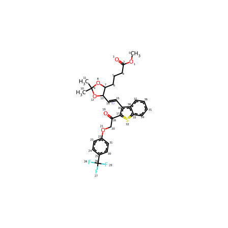 COC(=O)CCCC1OC(C)(C)OC1/C=C/c1c(C(=O)COc2ccc(C(F)(F)F)cc2)sc2ccccc12